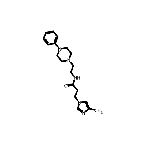 Cc1cn(CCC(=O)NCCN2CCN(c3ccccc3)CC2)cn1